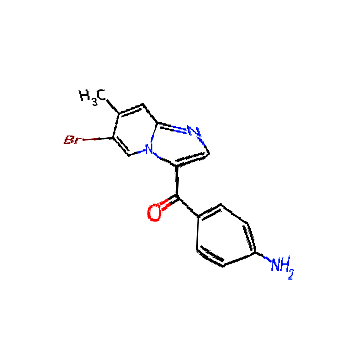 Cc1cc2ncc(C(=O)c3ccc(N)cc3)n2cc1Br